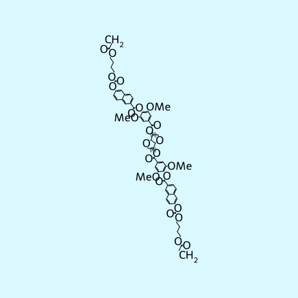 C=CC(=O)OCCCCOC(=O)Oc1ccc2cc(C(=O)Oc3c(OC)cc(C(=O)O[C@@H]4COC5C4OC[C@H]5OC(=O)c4cc(OC)c(OC(=O)c5ccc6cc(OC(=O)OCCCCOC(=O)C=C)ccc6c5)c(OC)c4)cc3OC)ccc2c1